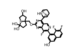 Oc1cc(-c2ncc3c(N4CC5CCC4CN5)nc(OCC45CCC(O)(O)N4CC(O)C5)nc3c2F)c2c(F)c(F)ccc2c1